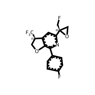 FC[C@@]1(c2cc3c(c(-c4ccc(F)cc4)n2)OC[C@H]3C(F)(F)F)CO1